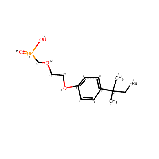 CC(C)(C)CC(C)(C)c1ccc(OCCOC[PH](=O)O)cc1